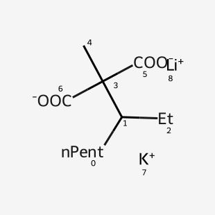 CCCCCC(CC)C(C)(C(=O)[O-])C(=O)[O-].[K+].[Li+]